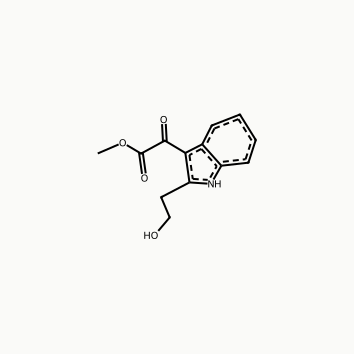 COC(=O)C(=O)c1c(CCO)[nH]c2ccccc12